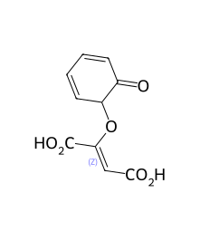 O=C(O)/C=C(\OC1C=CC=CC1=O)C(=O)O